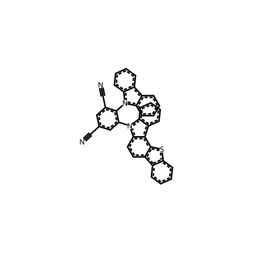 N#Cc1cc(C#N)c(-n2c3ccccc3c3ccccc32)c(-n2c3ccccc3c3c4sc5ccccc5c4ccc32)c1